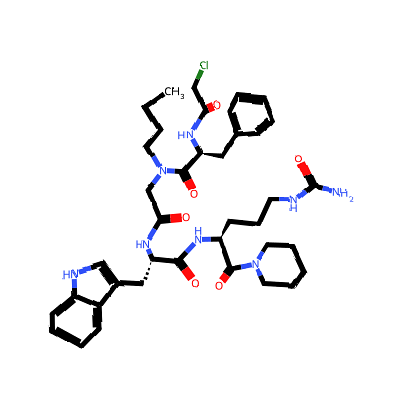 CCCCN(CC(=O)N[C@@H](Cc1c[nH]c2ccccc12)C(=O)N[C@@H](CCCNC(N)=O)C(=O)N1CCCCC1)C(=O)[C@H](Cc1ccccc1)NC(=O)CCl